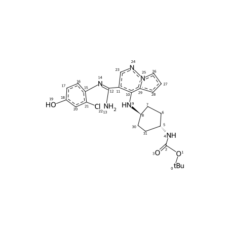 CC(C)(C)OC(=O)N[C@H]1CC[C@H](Nc2c(/C(N)=N/c3ccc(O)cc3Cl)cnn3cccc23)CC1